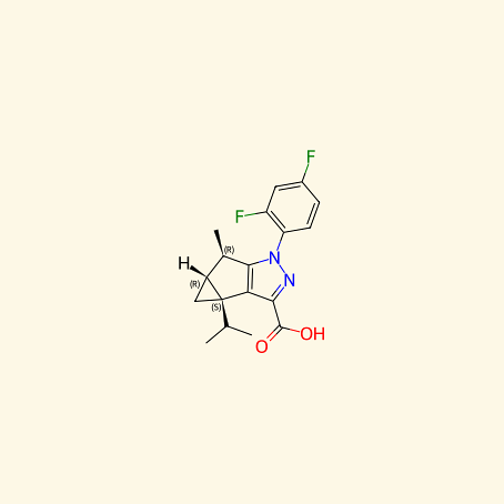 CC(C)[C@@]12C[C@@H]1[C@@H](C)c1c2c(C(=O)O)nn1-c1ccc(F)cc1F